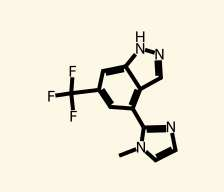 Cn1ccnc1-c1cc(C(F)(F)F)cc2[nH]ncc12